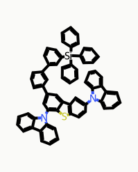 c1ccc([Si](c2ccccc2)(c2ccccc2)c2cccc(-c3cccc(-c4cc(-n5c6ccccc6c6ccccc65)c5sc6ccc(-n7c8ccccc8c8ccccc87)cc6c5c4)c3)c2)cc1